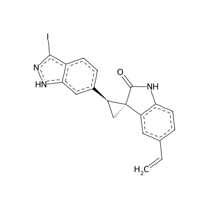 C=Cc1ccc2c(c1)[C@]1(C[C@H]1c1ccc3c(I)n[nH]c3c1)C(=O)N2